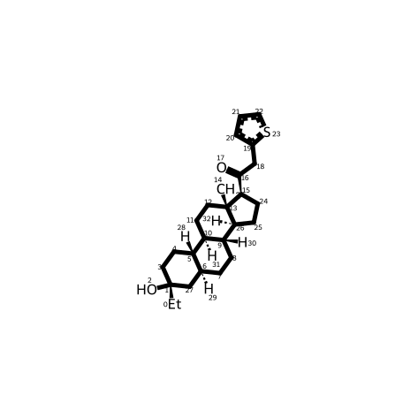 CC[C@@]1(O)CC[C@H]2[C@@H](CC[C@@H]3[C@@H]2CC[C@]2(C)[C@@H](C(=O)Cc4cccs4)CC[C@@H]32)C1